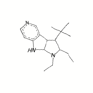 CCC1C(C(C)(C)C)C2c3cnccc3NC2N1CC